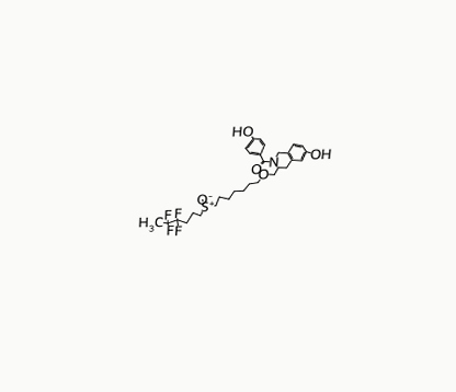 CC(F)(F)C(F)(F)CCC[S+]([O-])CCCCCCCOCC1Cc2cc(O)ccc2CN1C(=O)c1ccc(O)cc1